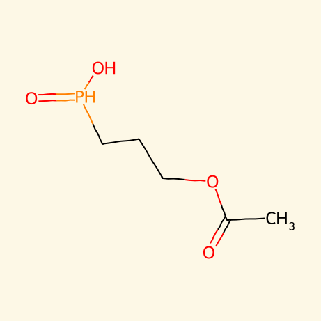 CC(=O)OCCC[PH](=O)O